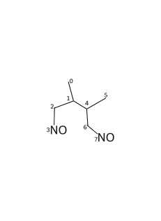 CC(CN=O)C(C)CN=O